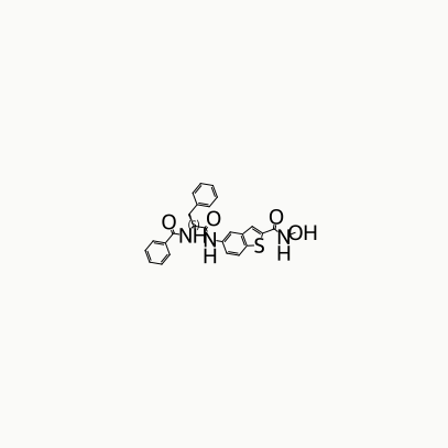 O=C(N[C@@H](Cc1ccccc1)C(=O)Nc1ccc2sc(C(=O)NO)cc2c1)c1ccccc1